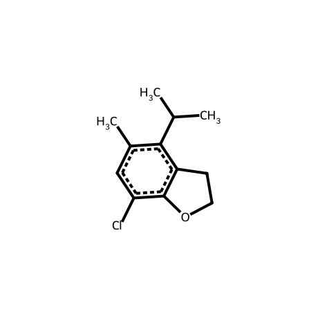 Cc1cc(Cl)c2c(c1C(C)C)CCO2